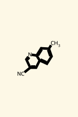 Cc1ccc2cc(C#N)cnc2c1